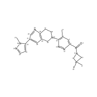 Cc1cc(C(=O)N2CC(C)(F)C2)nnc1N1CCc2ncc(-c3ccnn3C)cc2C1